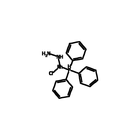 N[NH][Rh]([Cl])[PH](c1ccccc1)(c1ccccc1)c1ccccc1